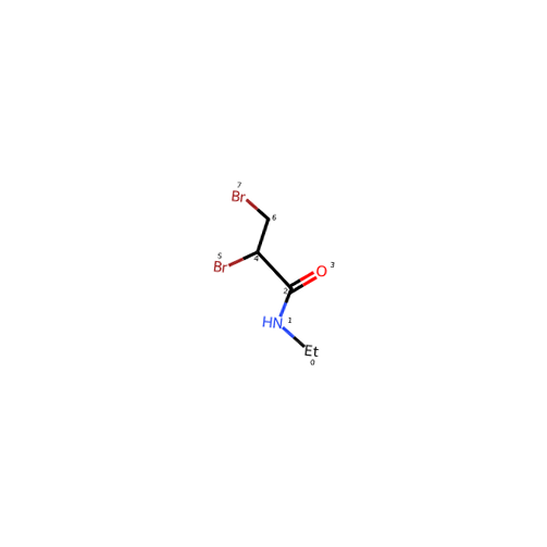 [CH2]CNC(=O)C(Br)CBr